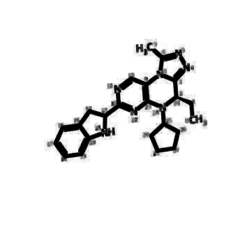 CC[C@@H]1c2nnc(C)n2-c2cnc(C3Cc4ccccc4N3)nc2N1C1CCCC1